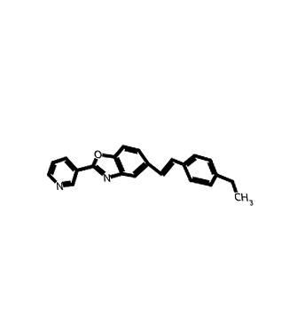 CCc1ccc(/C=C/c2ccc3oc(-c4cccnc4)nc3c2)cc1